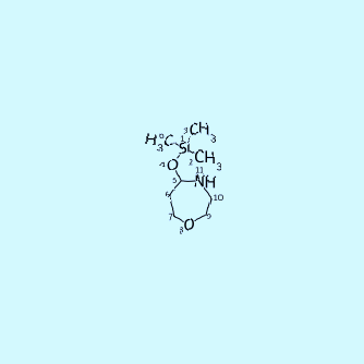 C[Si](C)(C)OC1CCOCCN1